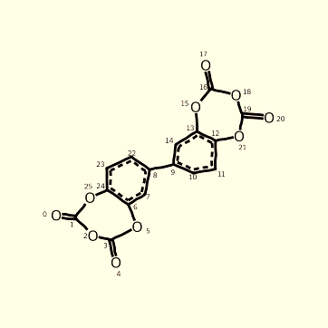 O=C1OC(=O)Oc2cc(-c3ccc4c(c3)OC(=O)OC(=O)O4)ccc2O1